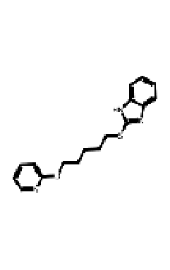 c1ccc(OCCCCCSc2nc3ccccc3[nH]2)nc1